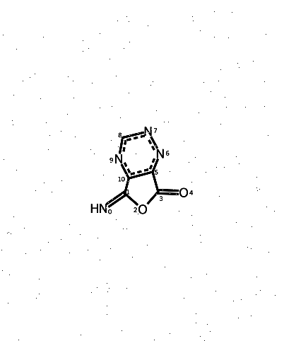 N=C1OC(=O)c2nncnc21